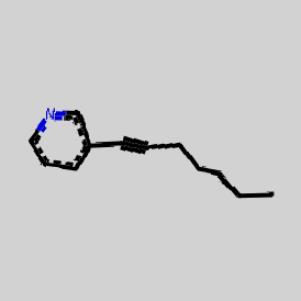 CCCCCC#Cc1c[c]cnc1